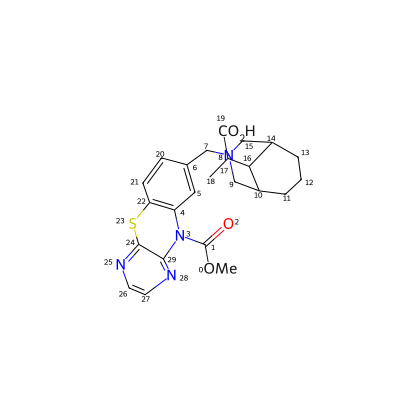 COC(=O)N1c2cc(CN3CC4CCCC(C3)C4C(C)C(=O)O)ccc2Sc2nccnc21